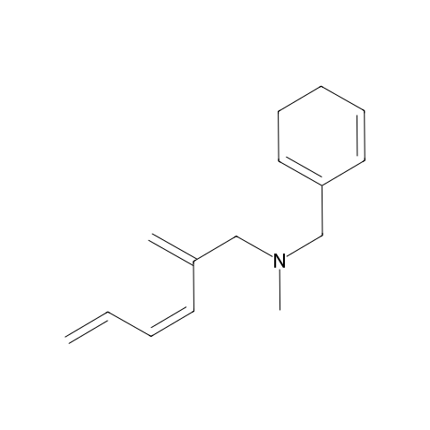 C=C/C=C\C(=C)CN(C)CC1=CCCC=C1